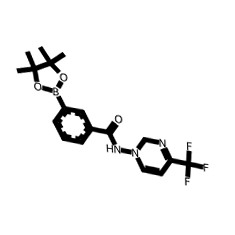 CC1(C)OB(c2cccc(C(=O)NN3C=CC(C(F)(F)F)=NC3)c2)OC1(C)C